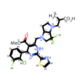 COC(=O)C1=C(CN2CC(F)(F)C3C2CCN3CC(C)C(=O)O)NC(c2nccs2)=NC1c1cccc(F)c1Cl